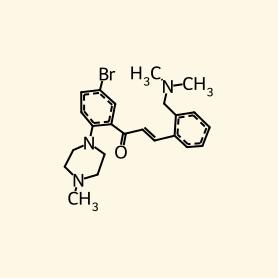 CN(C)Cc1ccccc1C=CC(=O)c1cc(Br)ccc1N1CCN(C)CC1